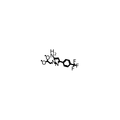 COC(Cn1nc(-c2ccc(C(F)(F)F)cc2)cc1N)OC